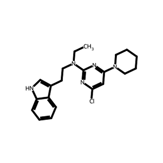 CCN(CCc1c[nH]c2ccccc12)c1nc(Cl)cc(N2CCCCC2)n1